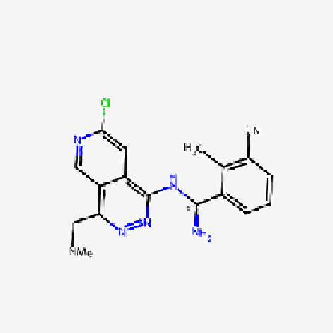 CNCc1nnc(N[C@H](N)c2cccc(C#N)c2C)c2cc(Cl)ncc12